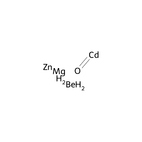 [BeH2].[MgH2].[O]=[Cd].[Zn]